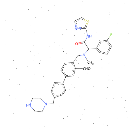 CN(Cc1ccc(-c2ccc(CN3CCNCC3)cc2)cc1C=O)C(C(=O)Nc1nccs1)c1cccc(F)c1